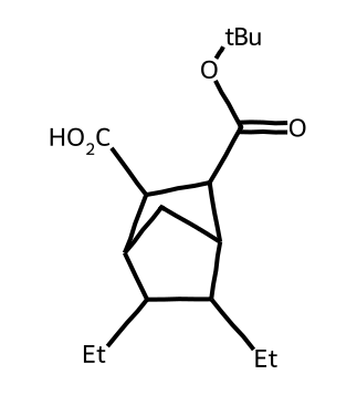 CCC1C(CC)C2CC1C(C(=O)O)C2C(=O)OC(C)(C)C